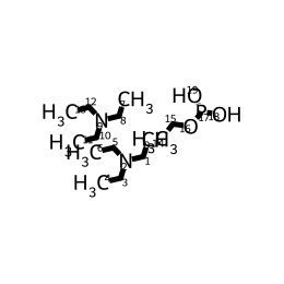 CCN(CC)CC.CCN(CC)CC.CCOP(O)O